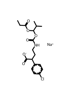 CCC(=O)OC(OC(=O)NCCC(C(=O)[O-])c1ccc(Cl)cc1)C(C)C.[Na+]